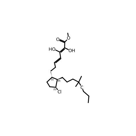 CCCCC(C)(C)CCC[C@@H]1[C@@H](CCC=CC(O)=C(O)C(=O)OC)CC[C@@H]1Cl